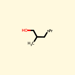 [CH2]CCCC(C)CO